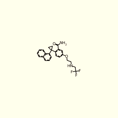 NC(=O)c1cc(OCCNCC(F)(F)F)ccc1C1(c2cccc3ccccc23)CC1